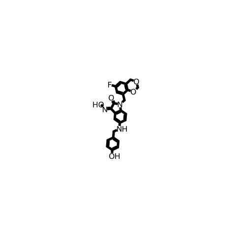 O=C1/C(=N\O)c2cc(NCc3ccc(O)cc3)ccc2N1Cc1cc(F)cc2c1OCOC2